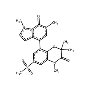 CN1C(=O)C(C)(C)Oc2c(-c3cn(C)c(=O)c4c3ccn4C)cc(S(C)(=O)=O)cc21